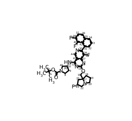 CC(C)(C)OC(=O)N1CC[C@@H](Nc2nc(OCC34CCCN3C[C@H](F)C4)nc3c(F)c(-c4cccc5ccc(F)c(F)c45)ncc23)C1